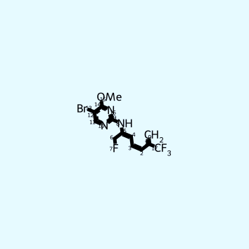 C=C(/C=C\C=C(/CF)Nc1ncc(Br)c(OC)n1)C(F)(F)F